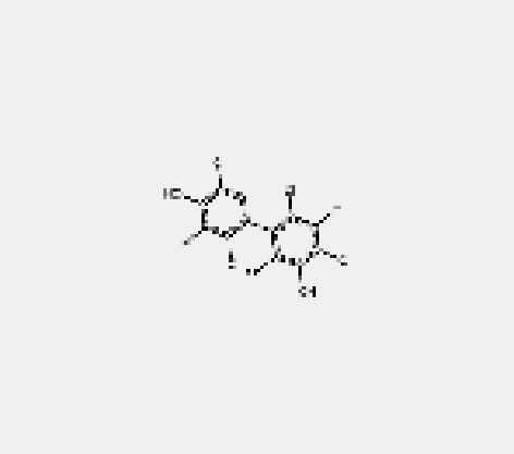 Oc1c(Cl)cc(-c2c(Cl)c(O)c(Cl)c(Cl)c2Cl)c(Cl)c1Cl